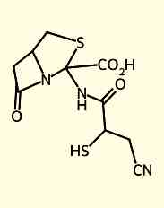 N#CCC(S)C(=O)NC1(C(=O)O)SCC2CC(=O)N21